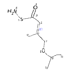 C/C(=C\C(=O)SN)COC(C)C